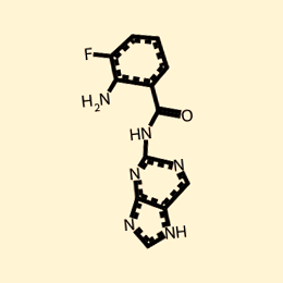 Nc1c(F)cccc1C(=O)Nc1ncc2[nH]cnc2n1